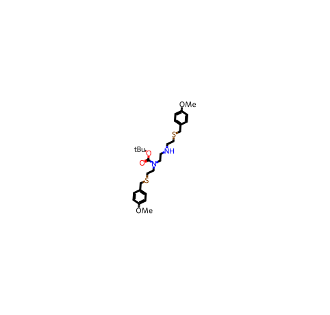 COc1ccc(CSCCNCCN(CCSCc2ccc(OC)cc2)C(=O)OC(C)(C)C)cc1